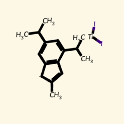 CC1=Cc2c(cc(C(C)C)cc2C(C)C)[CH]1.[I][Ti][I]